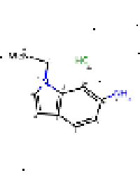 CNCn1ccc2ccc(N)cc21.Cl